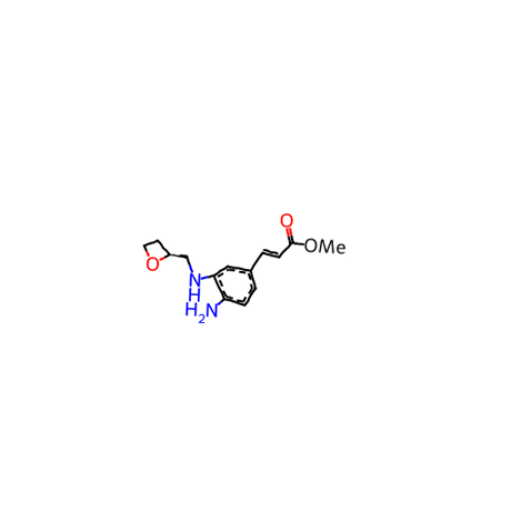 COC(=O)/C=C/c1ccc(N)c(NC[C@@H]2CCO2)c1